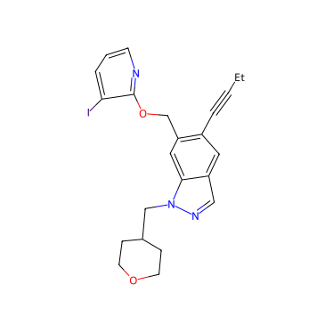 CCC#Cc1cc2cnn(CC3CCOCC3)c2cc1COc1ncccc1I